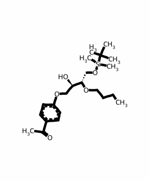 CCCCO[C@@H](CO[Si](C)(C)C(C)(C)C)[C@H](O)COc1ccc(C(C)=O)cc1